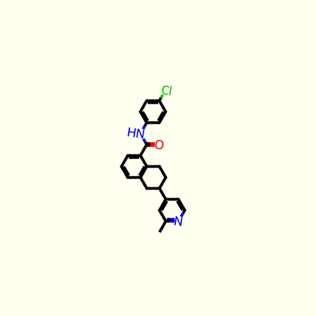 Cc1cc(C2CCc3c(cccc3C(=O)Nc3ccc(Cl)cc3)C2)ccn1